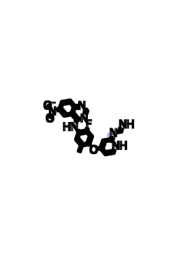 Cc1cc(Nc2ncnc3ccc([N+](=O)[O-])cc23)c(F)cc1Oc1cc[nH]/c(=N\C=N)c1